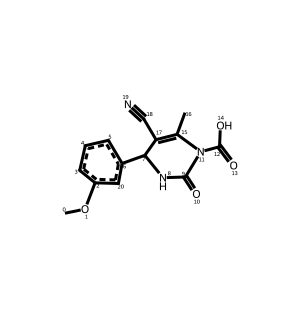 COc1cccc(C2NC(=O)N(C(=O)O)C(C)=C2C#N)c1